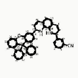 N#Cc1cccc(C2C=Cc3ccc4c(c3N2)NC(c2ccc3c(c2)Oc2ccccc2C3(c2ccccc2)c2ccccc2)C=C4)c1